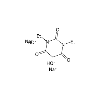 CCN1C(=O)CC(=O)N(CC)C1=O.[Na+].[Na+].[OH-].[OH-]